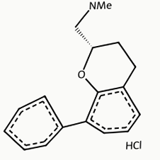 CNC[C@@H]1CCc2cccc(-c3ccccc3)c2O1.Cl